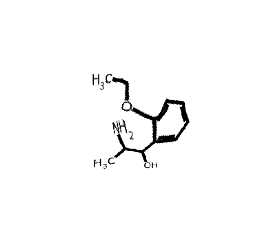 CCOc1ccccc1C(O)C(C)N